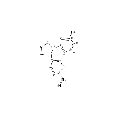 [N]=NC1C=CC(N2CCCC2c2cncc(F)c2)=CO1